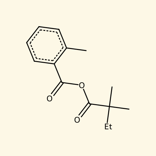 CCC(C)(C)C(=O)OC(=O)c1ccccc1C